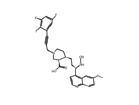 COc1ccc2nccc([C@@H](CC[C@@H]3CCN(CC#Cc4cc(F)cc(F)c4F)C[C@@H]3C(=O)O)NO)c2c1